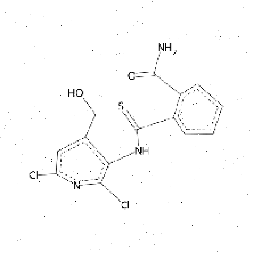 NC(=O)c1ccccc1C(=S)Nc1c(CO)cc(Cl)nc1Cl